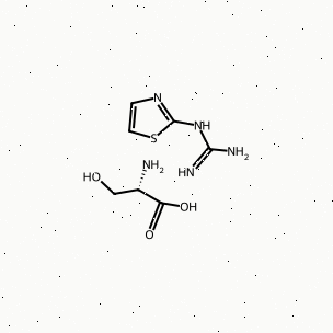 N=C(N)Nc1nccs1.N[C@@H](CO)C(=O)O